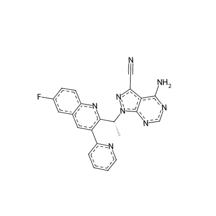 C[C@H](c1nc2ccc(F)cc2cc1-c1ccccn1)n1nc(C#N)c2c(N)ncnc21